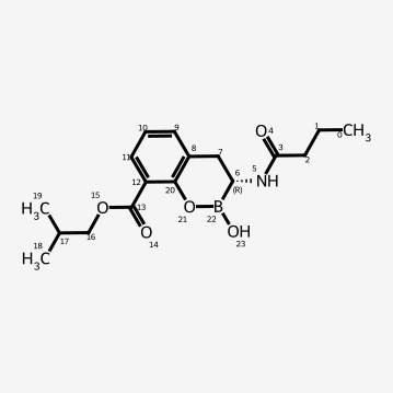 CCCC(=O)N[C@H]1Cc2cccc(C(=O)OCC(C)C)c2OB1O